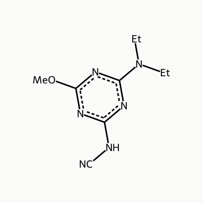 CCN(CC)c1nc(NC#N)nc(OC)n1